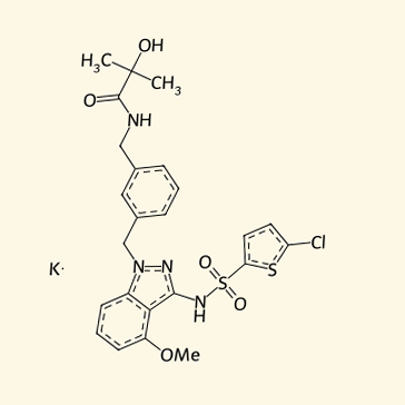 COc1cccc2c1c(NS(=O)(=O)c1ccc(Cl)s1)nn2Cc1cccc(CNC(=O)C(C)(C)O)c1.[K]